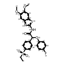 CCS(=O)(=O)c1ccc(C(Oc2ccc(F)cc2)C(=O)Nc2nc3cc(OC)c(OC)cc3s2)cc1